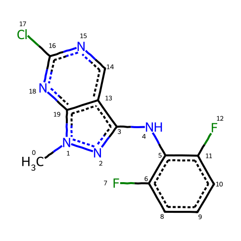 Cn1nc(Nc2c(F)cccc2F)c2cnc(Cl)nc21